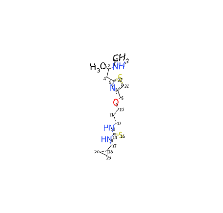 CNC(C)Cc1nc(COCCCNC(=S)NCC2CC2)cs1